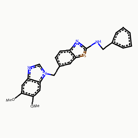 COc1cc2ncn(Cc3ccc4nc(NCc5ccccc5)sc4c3)c2cc1OC